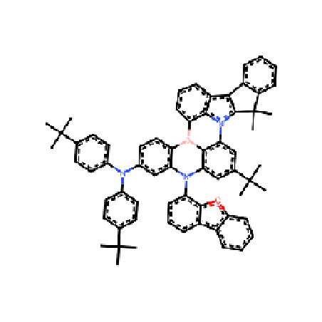 CC(C)(C)c1ccc(N(c2ccc(C(C)(C)C)cc2)c2ccc3c(c2)N(c2cccc4c2oc2ccccc24)c2cc(C(C)(C)C)cc4c2B3c2cccc3c5c(n-4c23)C(C)(C)c2ccccc2-5)cc1